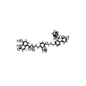 F.F.O=C(O)N(c1cc(CCCOc2ccc(CCNC[C@H](O)c3ccc(O)c4[nH]c(=O)ccc34)cc2)ccc1-c1ccccc1)[C@H]1CN2CCC1CC2